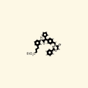 CCOC(=O)CCCc1cccc(NC(=O)C(c2ccc(CN3N=C(c4ccccc4)OCC3=O)cc2)C2CCCC2)c1